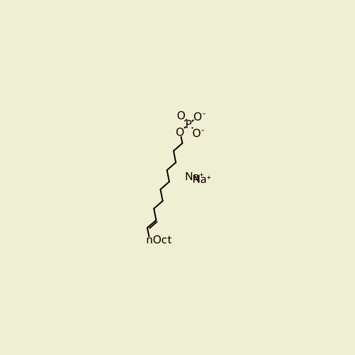 CCCCCCCCC=CCCCCCCCCOP(=O)([O-])[O-].[Na+].[Na+]